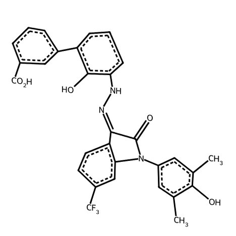 Cc1cc(N2C(=O)/C(=N\Nc3cccc(-c4cccc(C(=O)O)c4)c3O)c3ccc(C(F)(F)F)cc32)cc(C)c1O